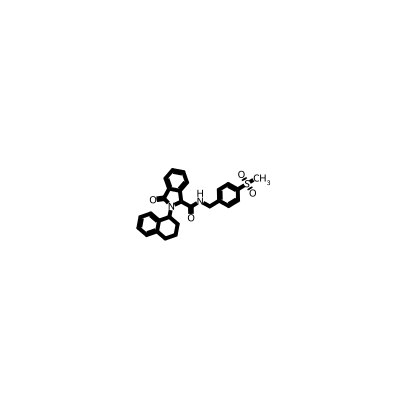 CS(=O)(=O)c1ccc(CNC(=O)C2c3ccccc3C(=O)N2C2CCCc3ccccc32)cc1